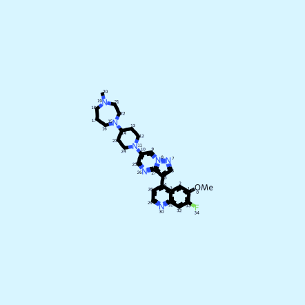 COc1cc2c(-c3cnn4cc(N5CCC(N6CCCN(C)CC6)CC5)cnc34)ccnc2cc1F